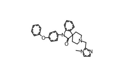 Cn1ccnc1CN1CCC2(CC1)C(=O)N(c1ccc(Oc3ccccc3)cc1)c1ccccc12